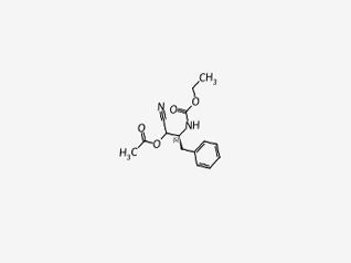 CCOC(=O)N[C@@H](Cc1ccccc1)C(C#N)OC(C)=O